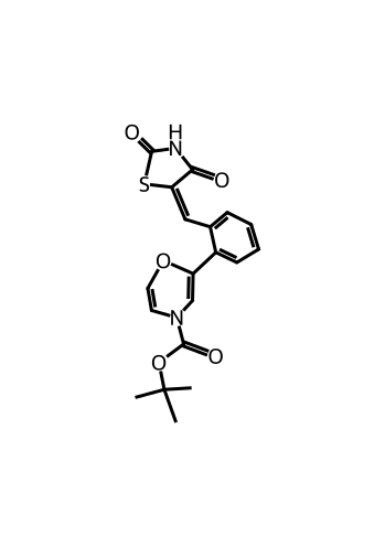 CC(C)(C)OC(=O)N1C=COC(c2ccccc2C=C2SC(=O)NC2=O)=C1